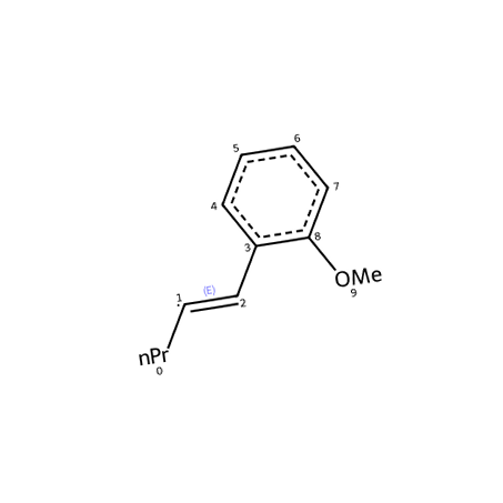 CCC/[C]=C/c1ccccc1OC